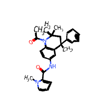 CC(=O)N1c2ccc(NC(=O)c3cccn3C)cc2C(C)(c2ccccc2)CC1(C)C